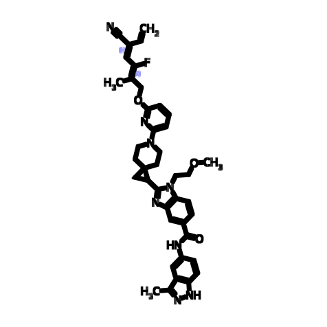 C=C/C(C#N)=C\C(F)=C(/C)COc1cccc(N2CCC3(CC2)CC3c2nc3cc(C(=O)Nc4ccc5[nH]nc(C)c5c4)ccc3n2CCOC)n1